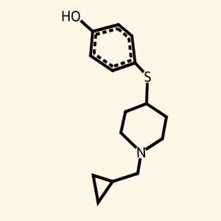 Oc1ccc(SC2CCN(CC3CC3)CC2)cc1